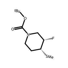 CS[C@@H]1CCN(C(=O)OC(C)(C)C)C[C@@H]1F